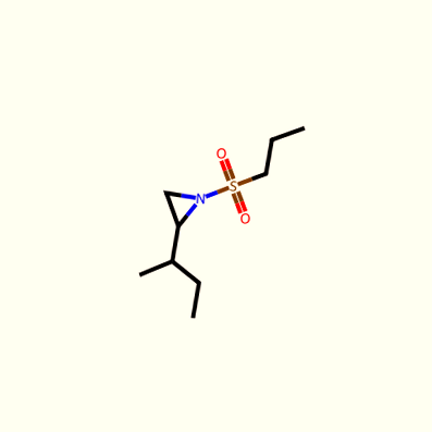 CCCS(=O)(=O)N1CC1C(C)CC